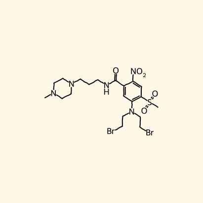 CN1CCN(CCCNC(=O)c2cc(N(CCBr)CCBr)c(S(C)(=O)=O)cc2[N+](=O)[O-])CC1